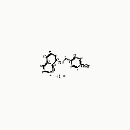 Brc1ccc(COc2cccc3cccnc23)cc1.Cl